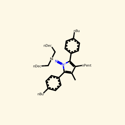 CCCCCC1=C(c2ccc(CCCC)cc2)[N+](=[N-])C(c2ccc(CCCC)cc2)=C1C.CCCCCCCCCC[CH2][Ni][CH2]CCCCCCCCCC